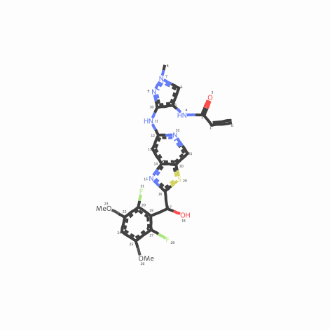 C=CC(=O)Nc1cn(C)nc1Nc1cc2nc(C(O)c3c(F)c(OC)cc(OC)c3F)sc2cn1